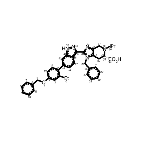 CCc1cc(OCc2ccccc2)ccc1-c1ccc2c(-c3nc4c(n3Cc3ccccc3)C[C@@H](C(=O)O)N(C(C)C)C4)n[nH]c2c1